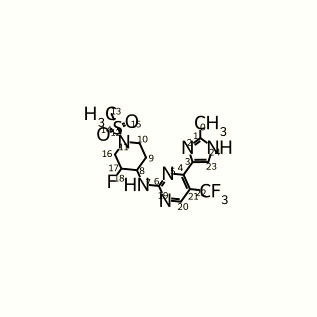 Cc1nc(-c2nc(NC3CCN(S(C)(=O)=O)CC3F)ncc2C(F)(F)F)c[nH]1